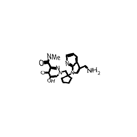 CNC(=O)c1nn(CC2(n3cc(CN)c4cccnc43)CCCC2)cc(O)c1=O